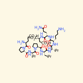 CC(C)C[C@H](NC(=O)[C@@H]1CCCN1C(=O)[C@@H](NC(=O)[C@@H]1CCCN1C(=O)[C@@H](N)CCC(=O)O)C(C)C)C(=O)N[C@H](C(=O)N[C@@H](CCCCN)C(=O)N[C@@H](CCC(N)=O)C(=O)N[C@@H](CC(=O)O)C(=O)O)C(C)C